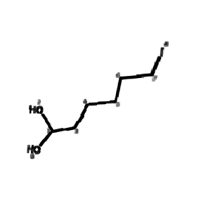 OC(O)CCCCCI